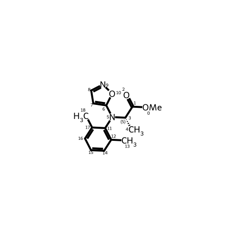 COC(=O)[C@H](C)N(c1ccno1)c1c(C)cccc1C